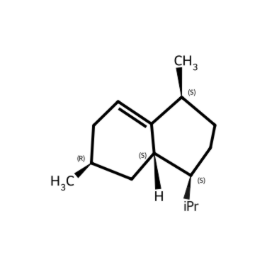 CC(C)[C@@H]1CC[C@H](C)C2=CC[C@H](C)C[C@H]21